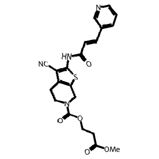 COC(=O)CCOC(=O)N1CCc2c(sc(NC(=O)C=Cc3cccnc3)c2C#N)C1